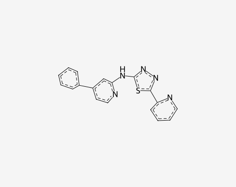 c1ccc(-c2ccnc(Nc3nnc(-c4ccccn4)s3)c2)cc1